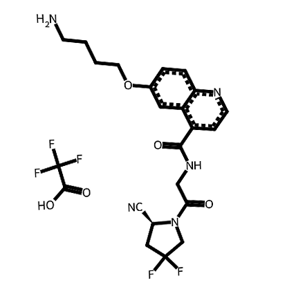 N#C[C@@H]1CC(F)(F)CN1C(=O)CNC(=O)c1ccnc2ccc(OCCCCN)cc12.O=C(O)C(F)(F)F